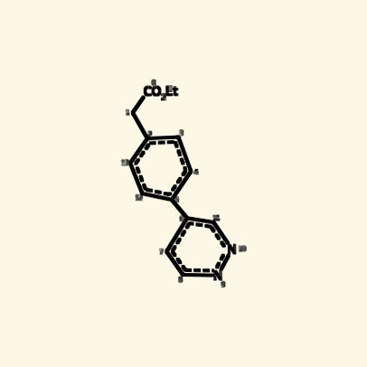 CCOC(=O)Cc1ccc(-c2ccnnc2)cc1